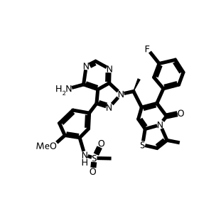 COc1ccc(-c2nn([C@@H](C)c3cc4scc(C)n4c(=O)c3-c3cccc(F)c3)c3ncnc(N)c23)cc1NS(C)(=O)=O